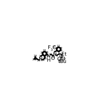 CCN(CCN(Cc1ccccc1C(F)(F)F)C(=O)CNc1cccc2c1CCN(CC1CC1)C2)C(=O)OC(C)(C)C